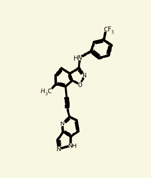 Cc1ccc2c(Nc3cccc(C(F)(F)F)c3)noc2c1C#Cc1ccc2[nH]ncc2n1